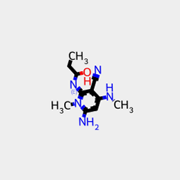 CCC(O)/N=c1\c(C#N)c(NC)cc(N)n1C